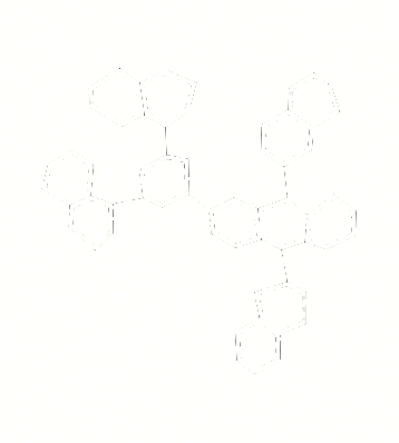 c1ccc2cc(-c3c4ccccc4c(-c4ccc5ccccc5c4)c4cc(-c5cc(-c6cccc7ccccc67)nc(-c6cccc7ccccc67)c5)ccc34)ccc2c1